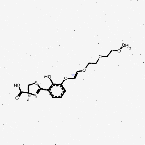 BOCCOCCO/C=C/Oc1cccc(C2=N[C@@](C)(C(=O)O)CS2)c1O